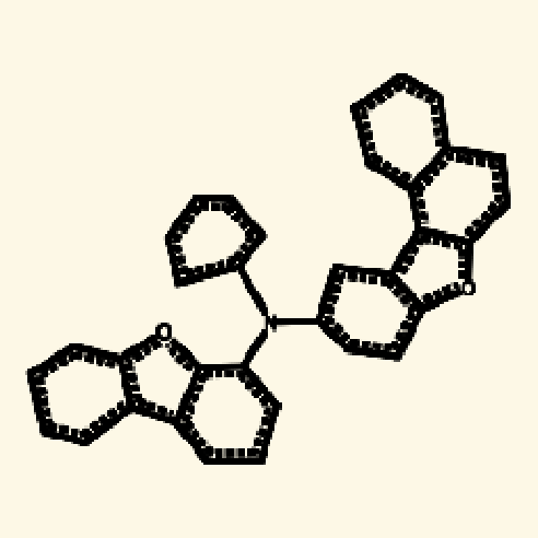 c1ccc(N(c2ccc3oc4ccc5ccccc5c4c3c2)c2cccc3c2oc2ccccc23)cc1